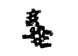 COC(=O)C1=C(CSc2nc3c(cc2C#N)CCC3)OC(N)=C(C#N)C1c1cccc(OC)c1